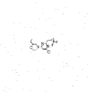 CC[C@H]1CN(c2cc(Cl)nc(CC3CC3(F)F)n2)CCO1